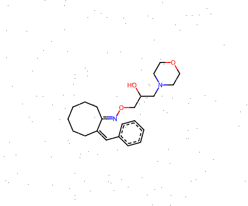 OC(CO/N=C1\CCCCCC\C1=C\c1ccccc1)CN1CCOCC1